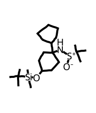 CC(C)(C)[S+]([O-])NC1(C2CCCCC2)CCC(O[Si](C)(C)C(C)(C)C)CC1